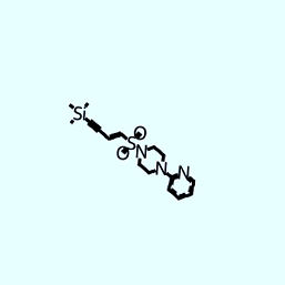 C[Si](C)(C)C#CC=CS(=O)(=O)N1CCN(c2ccccn2)CC1